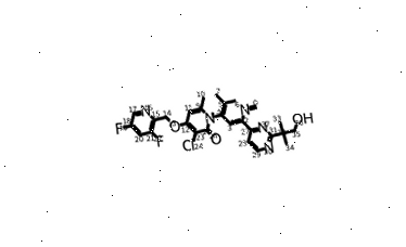 C=N/C(=C\C(=C(C)C)n1c(C)cc(OCc2ncc(F)cc2F)c(Cl)c1=O)c1ccnc(C(C)(C)CO)n1